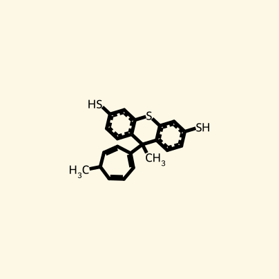 CC1C=CC=C(C2(C)c3ccc(S)cc3Sc3cc(S)ccc32)C=C1